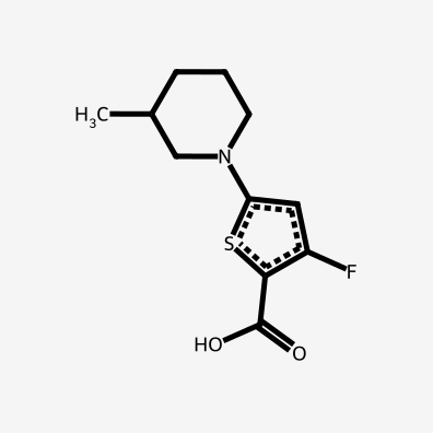 CC1CCCN(c2cc(F)c(C(=O)O)s2)C1